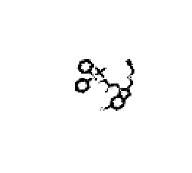 C#CCOCc1cc2ccc(Br)cc2n1C[C@@H](C)CO[Si](c1ccccc1)(c1ccccc1)C(C)(C)C